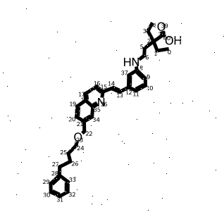 CCC(CC)(CCNc1cccc(C=Cc2ccc3ccc(COCCCCc4ccccc4)cc3n2)c1)C(=O)O